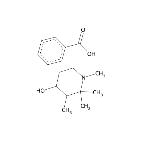 CC1C(O)CCN(C)C1(C)C.O=C(O)c1ccccc1